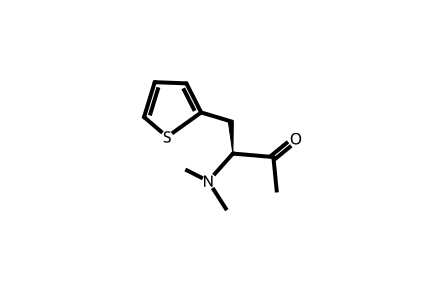 CC(=O)[C@H](Cc1cccs1)N(C)C